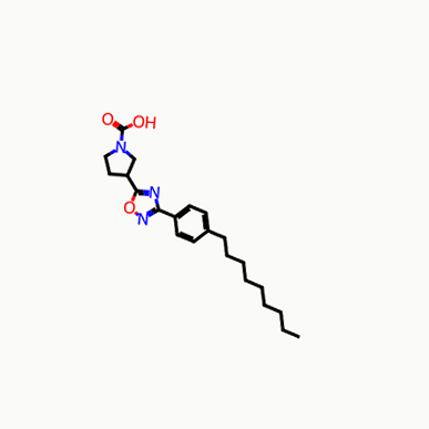 CCCCCCCCCc1ccc(-c2noc(C3CCN(C(=O)O)C3)n2)cc1